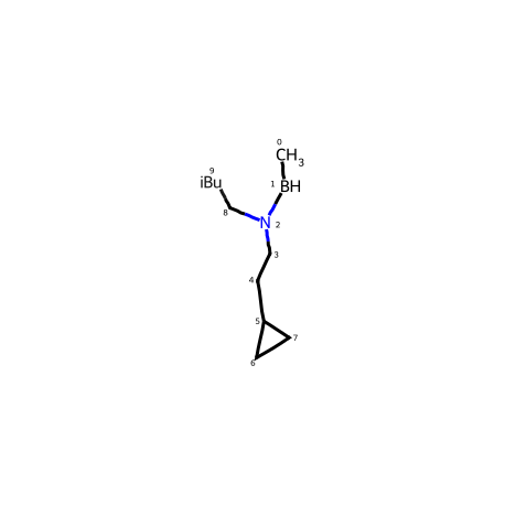 CBN(CCC1CC1)CC(C)CC